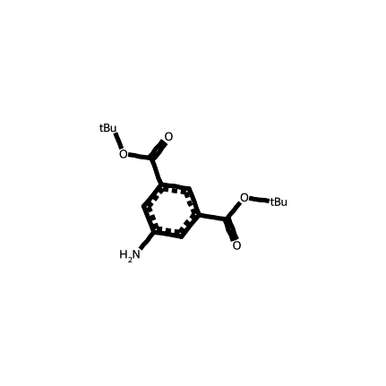 CC(C)(C)OC(=O)c1cc(N)cc(C(=O)OC(C)(C)C)c1